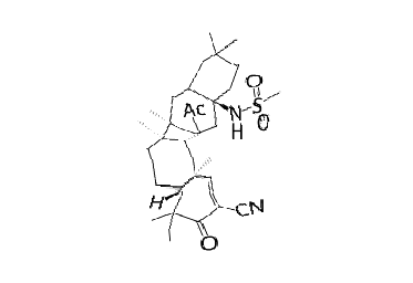 CC(=O)C[C@@H]1[C@@]2(C)C=C(C#N)C(=O)C(C)(C)[C@@H]2CC[C@@]1(C)[C@]1(C)CC[C@@]2(NS(C)(=O)=O)CCC(C)(C)CC2C1